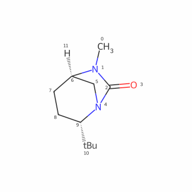 CN1C(=O)N2C[C@H]1CC[C@H]2C(C)(C)C